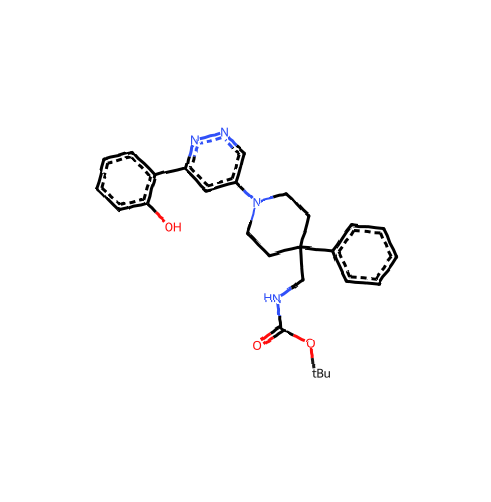 CC(C)(C)OC(=O)NCC1(c2ccccc2)CCN(c2cnnc(-c3ccccc3O)c2)CC1